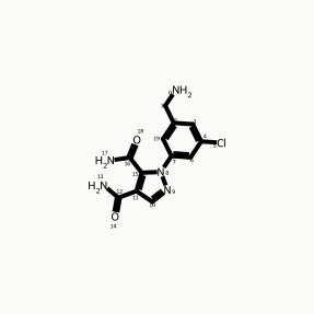 NCc1cc(Cl)cc(-n2ncc(C(N)=O)c2C(N)=O)c1